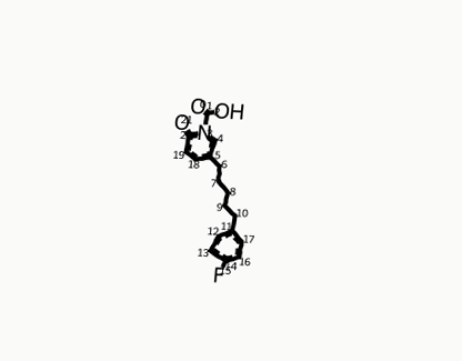 O=C(O)n1cc(CCCCCc2ccc(F)cc2)ccc1=O